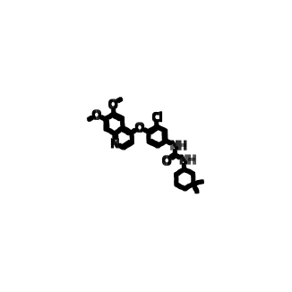 COc1cc2nccc(Oc3ccc(NC(=O)NC4CCCC(C)(C)C4)cc3Cl)c2cc1OC